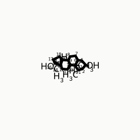 CC1C[C@H](O)CC2CC[C@@H]3[C@H](CC[C@]4(C)[C@@H](O)CC[C@@H]34)[C@@]12C